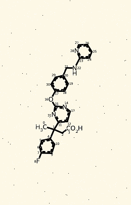 CC(CC(=O)O)(c1ccc(F)cc1)c1ccnc(Oc2ccc(CNc3ccccn3)cc2)n1